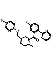 CC1CCC(COc2ccc(F)cn2)CN1C(=O)c1cc(F)ccc1-c1ncccn1